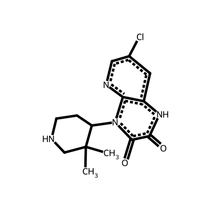 CC1(C)CNCCC1n1c(=O)c(=O)[nH]c2cc(Cl)cnc21